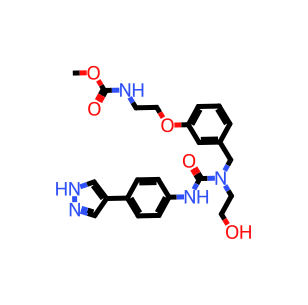 COC(=O)NCCOc1cccc(CN(CCO)C(=O)Nc2ccc(-c3cn[nH]c3)cc2)c1